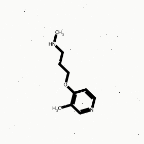 CNCCCOc1ccncc1C